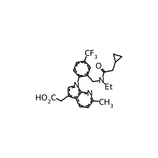 CCN(Cc1cc(C(F)(F)F)ccc1-n1cc(CC(=O)O)c2ccc(C)nc21)C(=O)CC1CC1